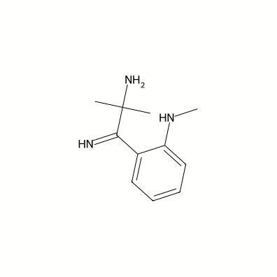 CNc1ccccc1C(=N)C(C)(C)N